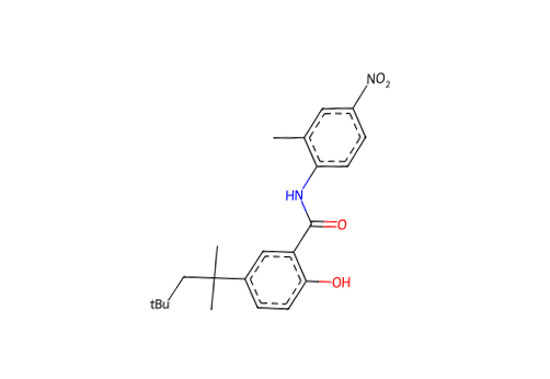 Cc1cc([N+](=O)[O-])ccc1NC(=O)c1cc(C(C)(C)CC(C)(C)C)ccc1O